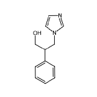 OCC(Cn1ccnc1)c1ccccc1